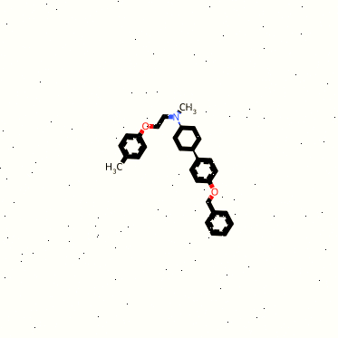 Cc1ccc(OCCN(C)[C@H]2CC[C@H](c3ccc(OCc4ccccc4)cc3)CC2)cc1